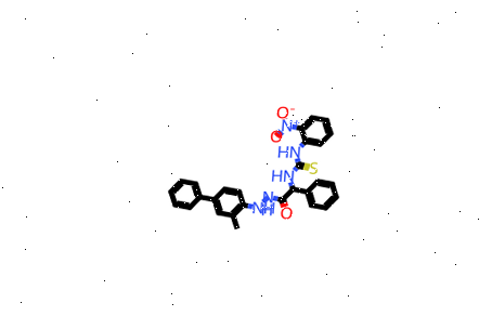 Cc1cc(-c2ccccc2)ccc1NNC(=O)C(NC(=S)Nc1ccccc1[N+](=O)[O-])c1ccccc1